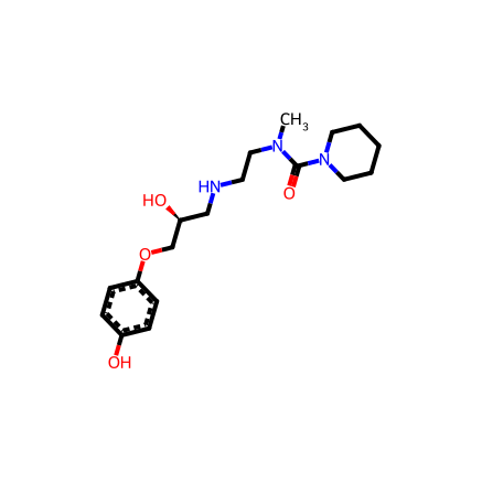 CN(CCNC[C@H](O)COc1ccc(O)cc1)C(=O)N1CCCCC1